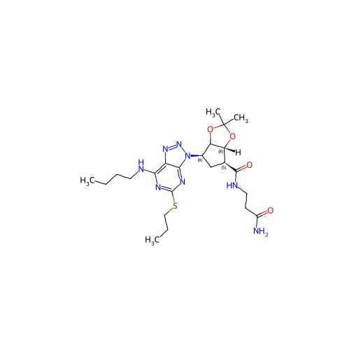 CCCCNc1nc(SCCC)nc2c1nnn2[C@@H]1C[C@H](C(=O)NCCC(N)=O)[C@H]2OC(C)(C)OC12